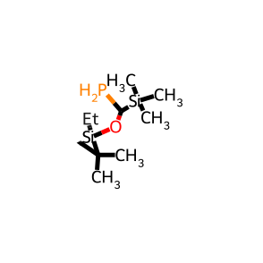 CC[Si]1(OC(P)[Si](C)(C)C)CC1(C)C